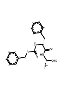 CC(C)[C@@H](C=O)NC(=O)[C@@H](Cc1ccccc1)NC(=O)OCc1ccccc1